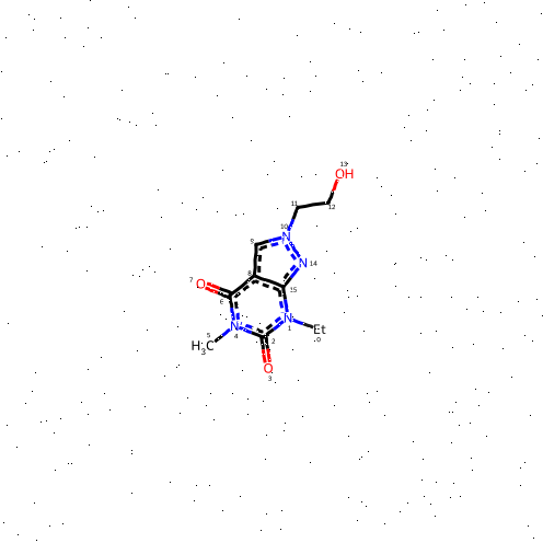 CCn1c(=O)n(C)c(=O)c2cn(CCO)nc21